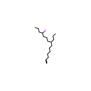 C=CCCCCCC(CCC)CCCC(I)CCC